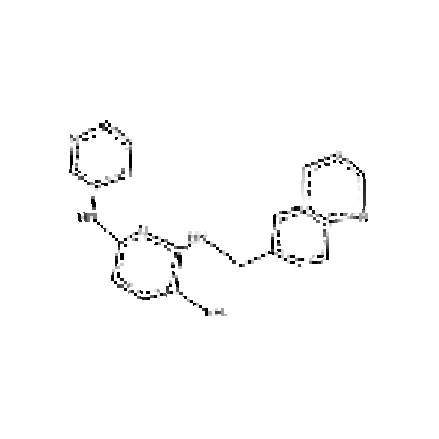 Nc1ccc(Nc2cccnc2)nc1NCc1ccc2ncccc2c1